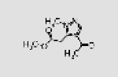 COC(=O)Cc1c(C(C)=O)cnn1C